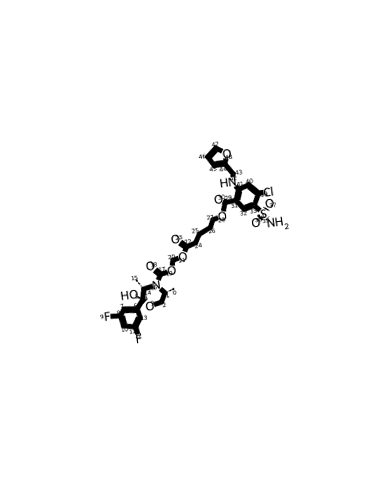 C[C@@H]1CO[C@@](O)(c2cc(F)cc(F)c2)[C@H](C)N1C(=O)OCOC(=O)CCCCOC(=O)c1cc(S(N)(=O)=O)c(Cl)cc1NCc1ccco1